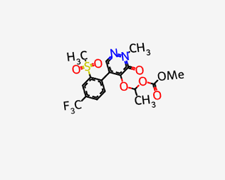 COC(=O)OC(C)Oc1c(-c2ccc(C(F)(F)F)cc2S(C)(=O)=O)cnn(C)c1=O